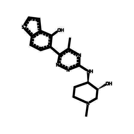 Cc1nc(N[C@@H]2CCN(C)C[C@H]2O)nnc1-c1ccc2sccc2c1O